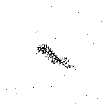 C=C\C=C/C=C/C(C=C)=C/C=C/N/C(C=C)=C/C(=C/c1ccc(-c2ccc3c(c2)C(C)(C)c2ccccc2-3)cc1)C(/C)=C/C=C\C